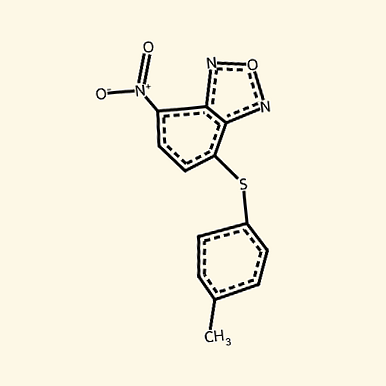 Cc1ccc(Sc2ccc([N+](=O)[O-])c3nonc23)cc1